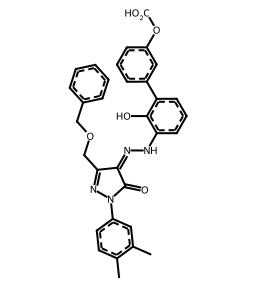 Cc1ccc(N2N=C(COCc3ccccc3)C(=NNc3cccc(-c4cccc(OC(=O)O)c4)c3O)C2=O)cc1C